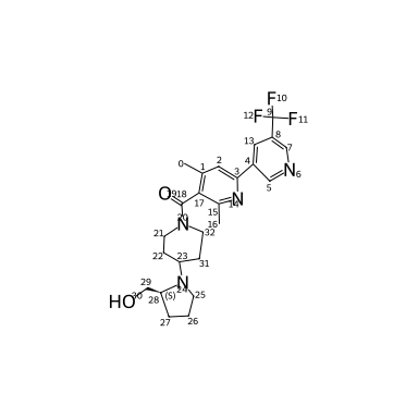 Cc1cc(-c2cncc(C(F)(F)F)c2)nc(C)c1C(=O)N1CCC(N2CCC[C@H]2CO)CC1